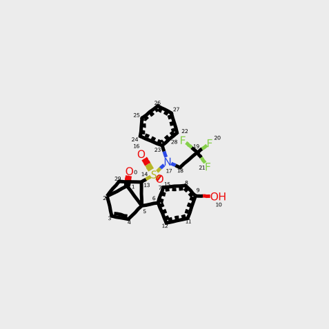 O=C1C2C=CC1(c1ccc(O)cc1)C(S(=O)(=O)N(CC(F)(F)F)c1ccccc1)C2